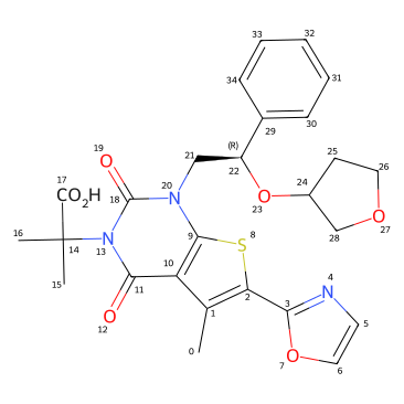 Cc1c(-c2ncco2)sc2c1c(=O)n(C(C)(C)C(=O)O)c(=O)n2C[C@H](OC1CCOC1)c1ccccc1